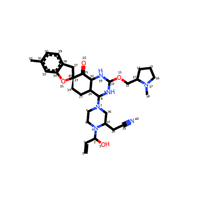 C=CC(O)N1CCN(C2NC(OCC3CCCN3C)NC3C(=O)[C@@]4(CCC32)Cc2ccc(C)cc2O4)CC1CC#N